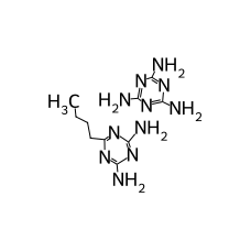 CCCCc1nc(N)nc(N)n1.Nc1nc(N)nc(N)n1